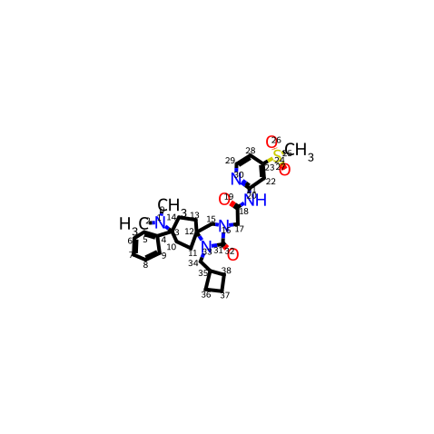 CN(C)C1(c2ccccc2)CCC2(CC1)CN(CC(=O)Nc1cc(S(C)(=O)=O)ccn1)C(=O)N2CC1CCC1